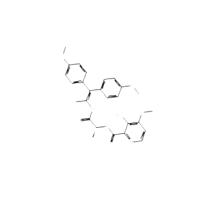 COc1ccc(C(=C(C)NC(=O)[C@H](C)NC(=O)c2nccc(OC)c2O)c2ccc(OC)cc2)cc1